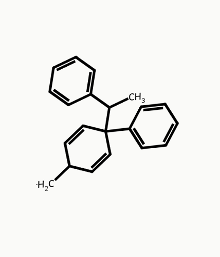 [CH2]C1C=CC(c2ccccc2)(C(C)c2ccccc2)C=C1